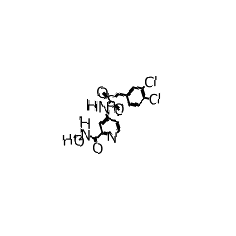 O=C(NO)c1cc(NS(=O)(=O)Cc2ccc(Cl)c(Cl)c2)ccn1